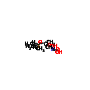 Cc1cc(CCC(=O)c2sc(C)c3c2C[C@@H]2[C@H]3C2(C)C)cc(C)c1OCC(O)CN1CC(C(=O)O)C1